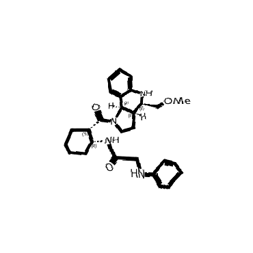 COC[C@@H]1Nc2ccccc2[C@H]2[C@@H]1CCN2C(=O)[C@H]1CCCC[C@H]1NC(=O)CNc1ccccc1